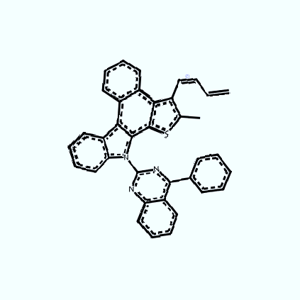 C=C/C=C\c1c(C)sc2c1c1ccccc1c1c3ccccc3n(-c3nc(-c4ccccc4)c4ccccc4n3)c21